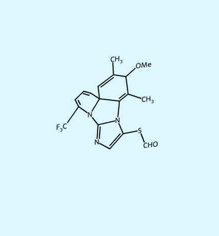 COC1C(C)=CC23C=CC=C(C(F)(F)F)N2c2ncc(SC=O)n2C3=C1C